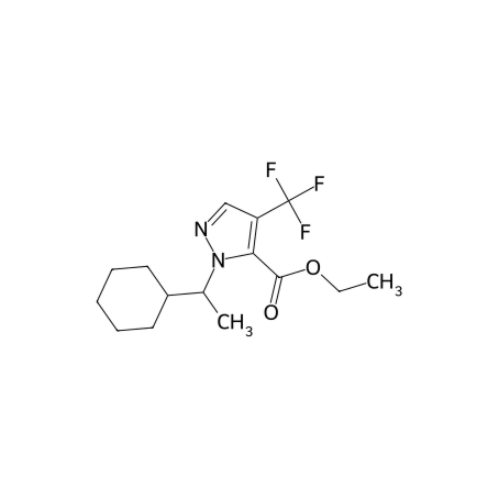 CCOC(=O)c1c(C(F)(F)F)cnn1C(C)C1CCCCC1